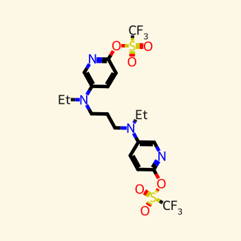 CCN(CCCN(CC)c1ccc(OS(=O)(=O)C(F)(F)F)nc1)c1ccc(OS(=O)(=O)C(F)(F)F)nc1